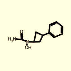 NC(=O)N(O)C1CC(c2ccccc2)C1